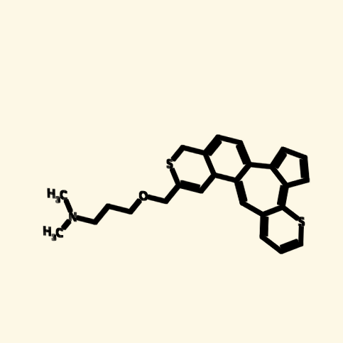 CN(C)CCCOCC1=CC2C(=CC=c3c4cccc-4c4c(cc32)=CC=CS4)CS1